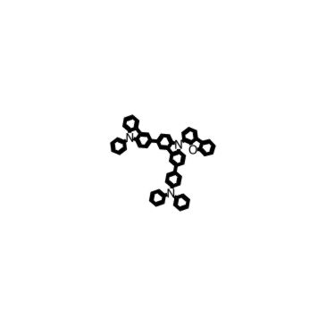 c1ccc(N(c2ccccc2)c2ccc(-c3ccc4c(c3)c3cc(-c5ccc6c(c5)c5ccccc5n6-c5ccccc5)ccc3n4-c3cccc4c3oc3ccccc34)cc2)cc1